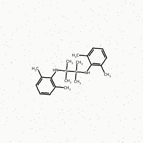 Cc1cccc(C)c1N[Si](C)(C)[Si](C)(C)Nc1c(C)cccc1C